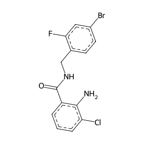 Nc1c(Cl)cccc1C(=O)NCc1ccc(Br)cc1F